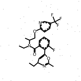 CCC1C=C(c2c(F)cccc2C(=O)N(CC)C(C)COc2ccc(C(F)(F)F)cn2)OC(C)=N1